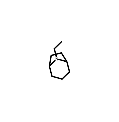 CCN1C2C[CH]CC1CC2